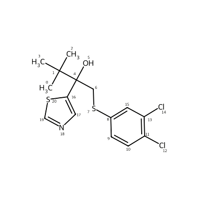 CC(C)(C)C(O)(CSc1ccc(Cl)c(Cl)c1)c1cncs1